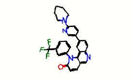 O=c1ccc2cnc3ccc(-c4ccc(N5CCCCC5)nc4)cc3c2n1-c1cccc(C(F)(F)F)c1